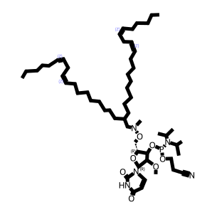 CCCCC/C=C\C/C=C\CCCCCCCCC(CCCCCCCC/C=C\C/C=C\CCCCC)CN(C)OC[C@H]1O[C@@H](n2ccc(=O)[nH]c2=O)C(OC)C1OP(OCCC#N)N(C(C)C)C(C)C